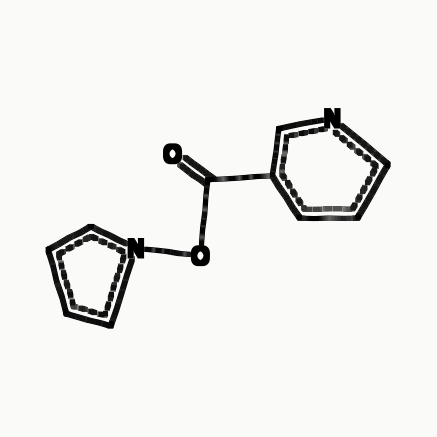 O=C(On1cccc1)c1cccnc1